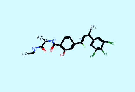 C[C@@H](NC(=O)c1ccc(/C(F)=C/C(c2cc(Cl)c(Cl)c(Cl)c2)C(F)(F)F)cc1Br)C(=O)NCC(F)(F)F